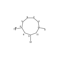 CC1CCCCC(F)CC(C)C1